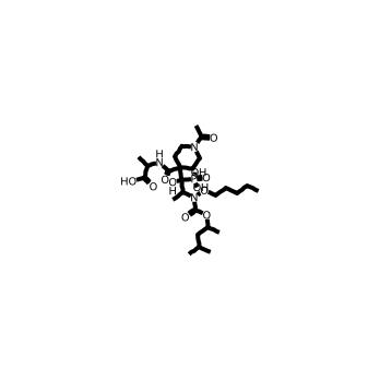 CCCCCON(C(=O)OC(C)CC(C)C)C(C)C(O)(C1(C(=O)NC(C)C(=O)O)CCN(C(C)=O)CC1)P(=O)(O)O